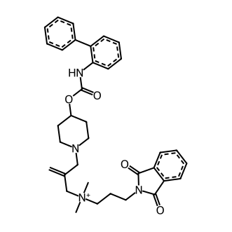 C=C(CN1CCC(OC(=O)Nc2ccccc2-c2ccccc2)CC1)C[N+](C)(C)CCCN1C(=O)c2ccccc2C1=O